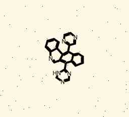 C1=NCNC(c2c3ccccc3c(-c3cnccn3)c3c2cnc2ccccc23)=N1